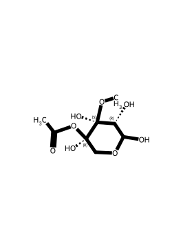 CO[C@@]1(O)[C@H](O)C(O)OC[C@@]1(O)OC(C)=O